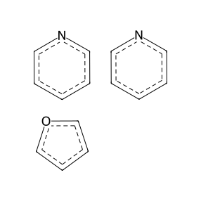 c1ccncc1.c1ccncc1.c1ccoc1